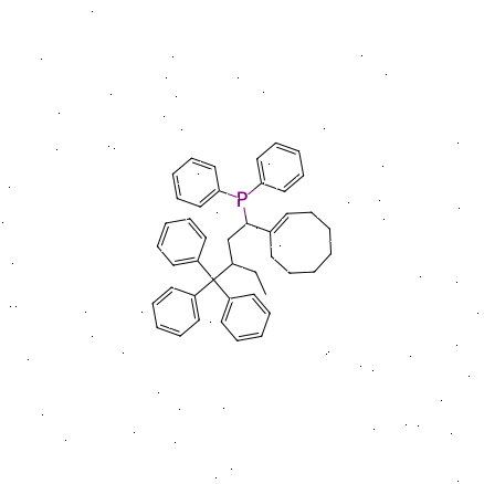 CCC(CC(/C1=C/CCCCCC1)P(c1ccccc1)c1ccccc1)C(c1ccccc1)(c1ccccc1)c1ccccc1